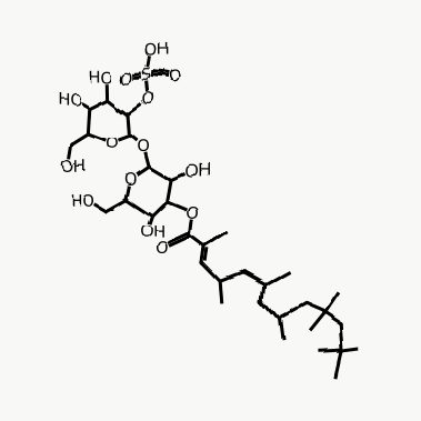 C/C(=C\C(C)CC(C)CC(C)CC(C)(C)CC(C)(C)C)C(=O)OC1C(O)C(CO)OC(OC2OC(CO)C(O)C(O)C2OS(=O)(=O)O)C1O